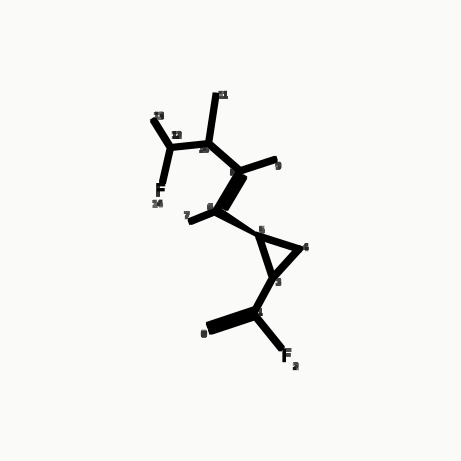 C=C(F)C1C[C@@H]1/C(C)=C(\C)C(C)C(C)F